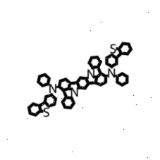 c1ccc(N(c2ccc3sc4ccccc4c3c2)c2ccc3c4cc5c(cc4n4c6ccccc6c2c34)c2ccc(N(c3ccccc3)c3ccc4sc6ccccc6c4c3)c3c4ccccc4n5c23)cc1